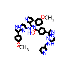 COc1ccc(-c2cnn3ccc(NC(c4cccnc4)N(C(=O)c4ccc(-c5cnn6ccc(NCc7cccnc7)nc56)cc4)c4ccc(OC)cc4)nc23)cc1